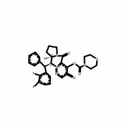 O=C(Oc1c2n(ncc1=O)[C@@H](C(c1ccccc1)c1cccc(F)c1F)[C@H]1CCCN1C2=O)N1CCOCC1